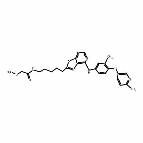 COCC(=O)NCCCCCc1nc2c(Nc3ccc(Oc4ccc(C)nc4)c(C)c3)ncnc2s1